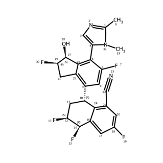 Cc1ncc(-c2c(F)cc([C@H]3C[C@H](F)[C@H](F)c4cc(F)cc(C#N)c43)c3c2[C@H](O)[C@H](F)C3)n1C